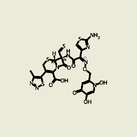 Cc1nnsc1C1=C(C(=O)O)N2C(=O)[C@](C=S)(NC(=O)/C(=N\OCc3cc(=O)c(O)cn3O)c3csc(N)n3)[C@H]2SC1